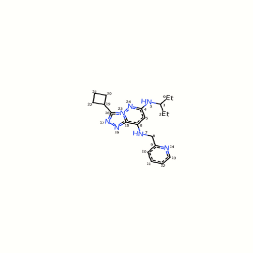 CCC(CC)Nc1cc(NCc2ccccn2)c2nnc(C3CCC3)n2n1